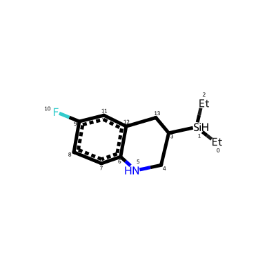 CC[SiH](CC)C1CNc2ccc(F)cc2C1